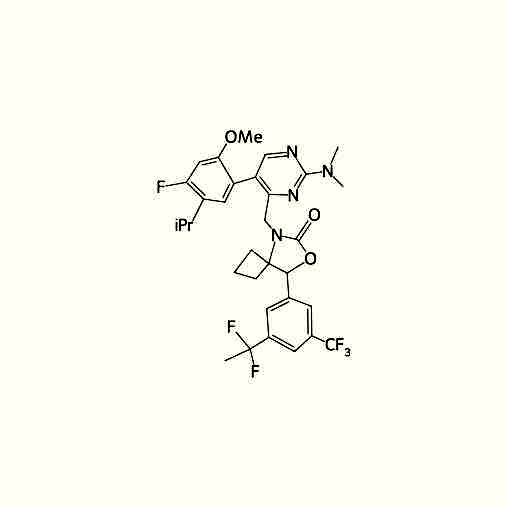 COc1cc(F)c(C(C)C)cc1-c1cnc(N(C)C)nc1CN1C(=O)OC(c2cc(C(C)(F)F)cc(C(F)(F)F)c2)C12CCC2